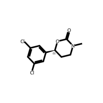 CN1CC[C@@H](c2cc(Cl)cc(Cl)c2)OC1=O